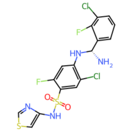 N[C@H](Nc1cc(F)c(S(=O)(=O)Nc2cscn2)cc1Cl)c1cccc(Cl)c1F